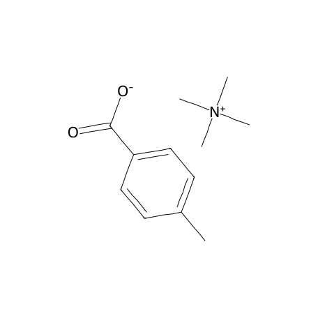 C[N+](C)(C)C.Cc1ccc(C(=O)[O-])cc1